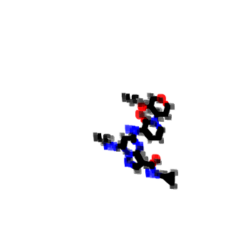 CNc1cc(Nc2cccn([C@@H]3CCOC[C@@H]3OC)c2=O)nc2c(C(=O)NC3CC3)cnn12